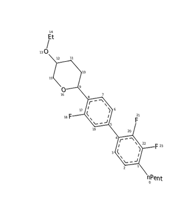 CCCCCc1ccc(-c2ccc(C3CCC(OCC)CO3)c(F)c2)c(F)c1F